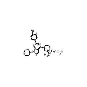 CC(=O)O.CC1CN(c2nc(-c3ccc(N)cc3)nc3c2cnn3N2CCCCC2)CCO1